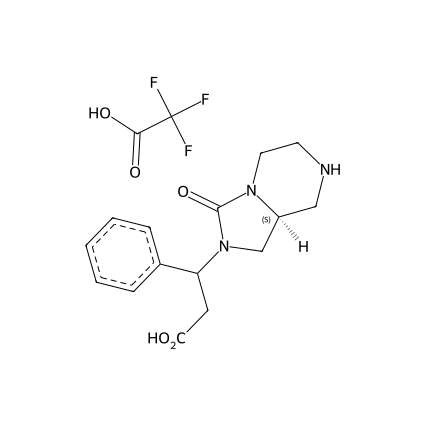 O=C(O)C(F)(F)F.O=C(O)CC(c1ccccc1)N1C[C@@H]2CNCCN2C1=O